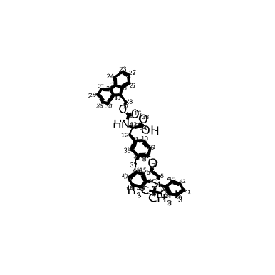 CC(C)(C)[Si](CCOc1ccc(C[C@@H](NC(=O)OCC2c3ccccc3-c3ccccc32)C(=O)O)cc1I)(c1ccccc1)c1ccccc1